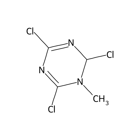 CN1C(Cl)=NC(Cl)=NC1Cl